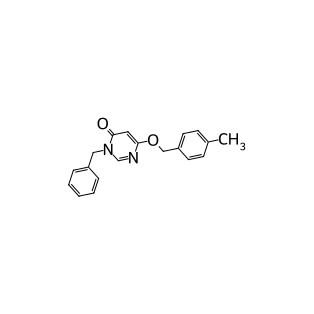 Cc1ccc(COc2cc(=O)n(Cc3ccccc3)cn2)cc1